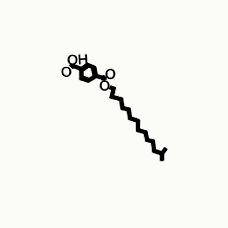 CC(C)CCCCCCCCCCCCOC(=O)c1ccc(C(=O)O)cc1